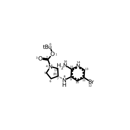 CC(C)(C)OC(=O)N1CC[C@@H](Nc2cc(Br)cnc2N)C1